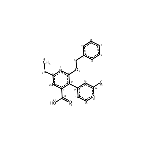 CSc1nc(OCc2ccccc2)c(-c2ccnc(Cl)c2)c(C(=O)O)n1